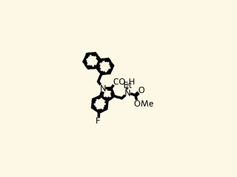 CCN(Cc1c(C(=O)O)n(Cc2cccc3ccccc23)c2ccc(F)cc12)C(=O)OC